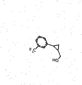 OCC1CC1c1cccc(C(F)(F)F)c1